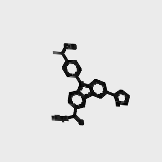 CCCCCCCC(=O)c1ccc2c(c1)c1cc(-c3cccs3)ccc1n2-c1ccc(C(C)C=O)cc1